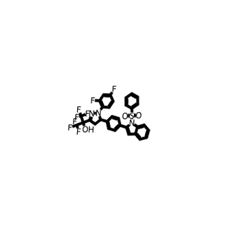 O=S(=O)(c1ccccc1)n1c(-c2ccc(C3CC(C(O)(C(F)(F)F)C(F)(F)F)=NN3c3ccc(F)cc3F)cc2)cc2ccccc21